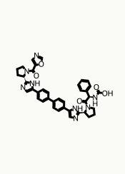 O=C(O)N[C@@H](C(=O)N1CCC[C@H]1c1ncc(-c2ccc(-c3ccc(-c4cnc([C@@H]5CCCN5C(=O)c5cnco5)[nH]4)cc3)cc2)[nH]1)c1ccccc1